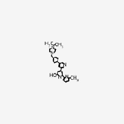 Cc1cccc(-c2cc(-c3cncc(-c4ccc(CN5CCN(C(C)C)CC5)cc4)c3)cc(O)n2)n1